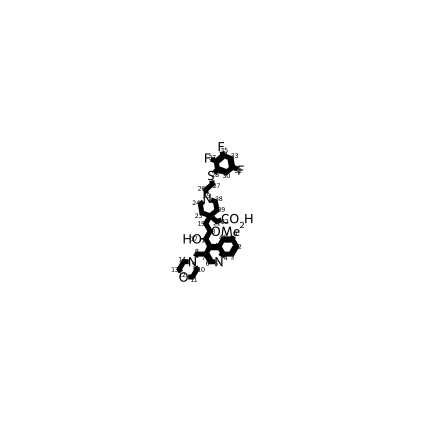 COc1ccc2ncc(CN3CCOCC3)c([C@H](O)CCC3(CC(=O)O)CCN(CCSc4cc(F)cc(F)c4F)CC3)c2c1